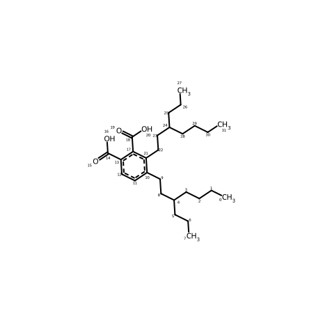 CCCCC(CCC)CCc1ccc(C(=O)O)c(C(=O)O)c1CCC(CCC)CCCC